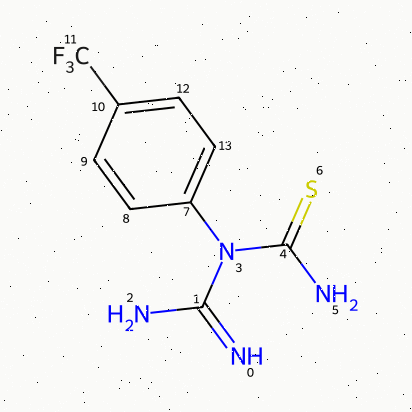 N=C(N)N(C(N)=S)c1ccc(C(F)(F)F)cc1